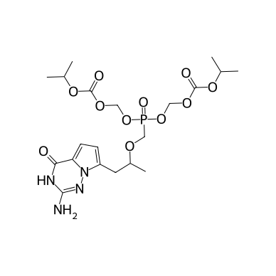 CC(C)OC(=O)OCOP(=O)(COC(C)Cc1ccc2c(=O)[nH]c(N)nn12)OCOC(=O)OC(C)C